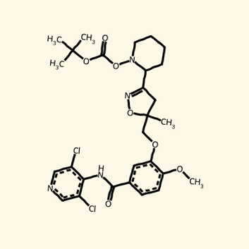 COc1ccc(C(=O)Nc2c(Cl)cncc2Cl)cc1OCC1(C)CC(C2CCCCN2OC(=O)OC(C)(C)C)=NO1